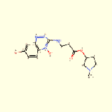 CN1CCC(OC(=O)CCNc2nnc3cc(Br)ccc3[n+]2[O-])C1